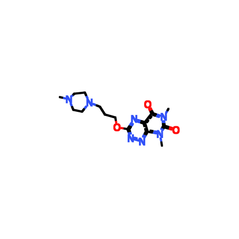 CN1CCN(CCCOc2nnc3c(n2)c(=O)n(C)c(=O)n3C)CC1